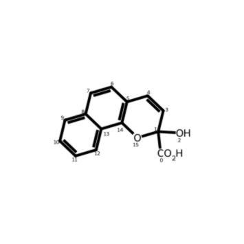 O=C(O)C1(O)C=Cc2ccc3ccccc3c2O1